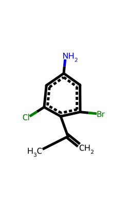 C=C(C)c1c(Cl)cc(N)cc1Br